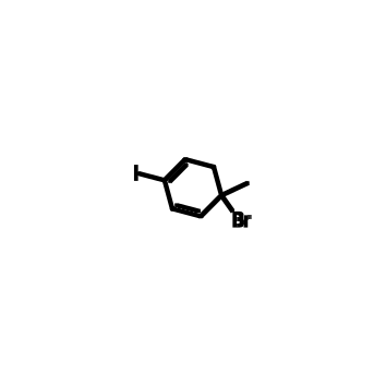 CC1(Br)C=CC(I)=CC1